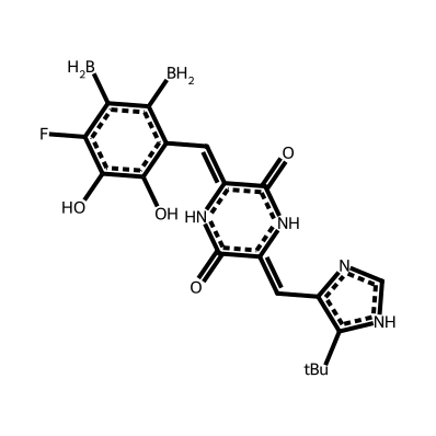 Bc1c(B)c(/C=c2\[nH]c(=O)/c(=C/c3nc[nH]c3C(C)(C)C)[nH]c2=O)c(O)c(O)c1F